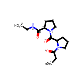 CCCCCCCCCCCC(=O)N1CCCC1C(=O)N1CCCC1C(=O)NCC(=O)O